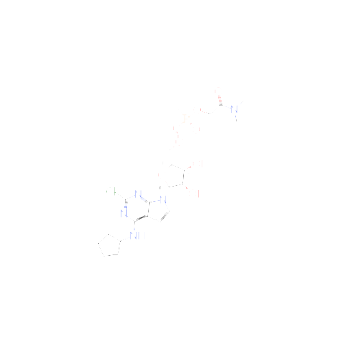 CN(C)C(=O)COP(C)(=O)OOC[C@H]1O[C@@H](n2ccc3c(NC4CCCC4)nc(Cl)nc32)[C@H](O)[C@@H]1O